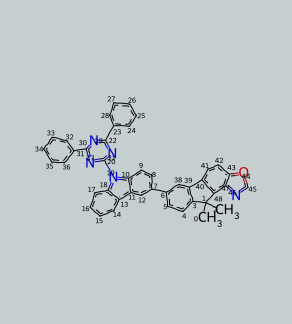 CC1(C)c2ccc(-c3ccc4c(c3)c3ccccc3n4-c3nc(-c4ccccc4)nc(-c4ccccc4)n3)cc2-c2ccc3ocnc3c21